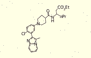 CCCC(CC(=O)OCC)NC(=O)C1CCN(c2ccc(Cl)c(-c3nc4ccccn4c3C)c2)CC1